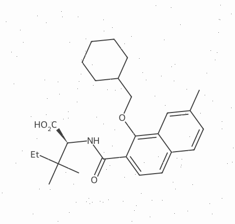 CCC(C)(C)[C@H](NC(=O)c1ccc2ccc(C)cc2c1OCC1CCCCC1)C(=O)O